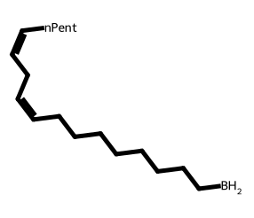 BCCCCCCCC/C=C\C/C=C\CCCCC